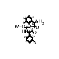 COC(=O)NC(C(=O)OC(=O)C(N)c1cccc(C)c1)c1cccc(C)c1